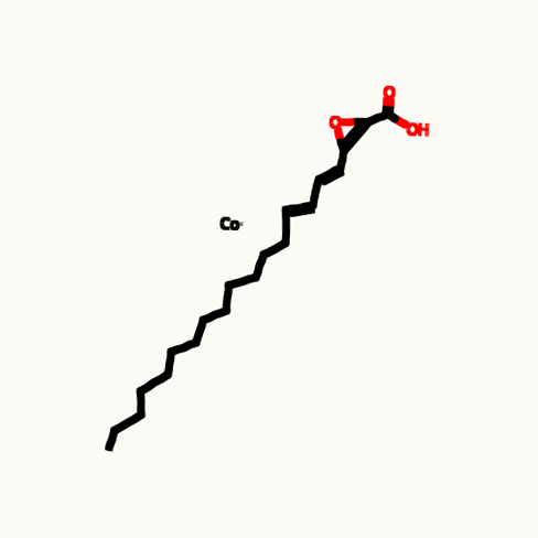 CCCCCCCCCCCCCC=CC=CC1=C(C(=O)O)O1.[Co]